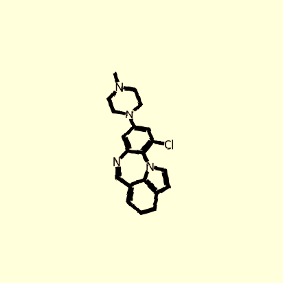 CN1CCN(c2cc(Cl)c3c(c2)N=CC2=CCCc4ccn-3c42)CC1